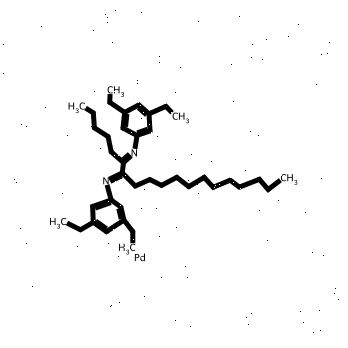 CCCCCCCCCCCCC(=N\c1cc(CC)cc(CC)c1)/C(CCCCC)=N/c1cc(CC)cc(CC)c1.[Pd]